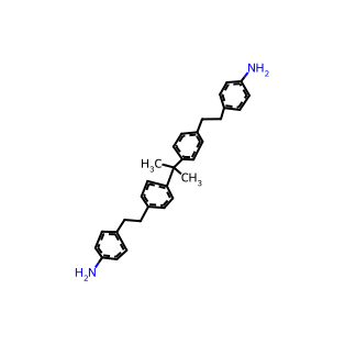 CC(C)(c1ccc(CCc2ccc(N)cc2)cc1)c1ccc(CCc2ccc(N)cc2)cc1